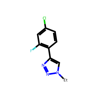 CCn1cc(-c2ccc(Cl)cc2F)nn1